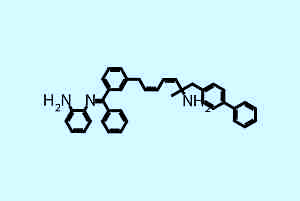 CC(N)(/C=C\C=C/Cc1cccc(/C(=N/c2ccccc2N)c2ccccc2)c1)Cc1ccc(-c2ccccc2)cc1